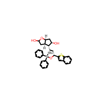 CC(C)(C)[Si](O[C@H](CC[C@@H]1[C@H]2CC(O)O[C@H]2C[C@H]1O)c1cc2ccccc2s1)(c1ccccc1)c1ccccc1